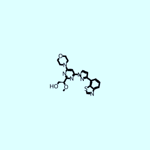 CO[C@@H](CO)c1nc(N2CCOCC2)cc(-n2ccc(-c3cccc4ncsc34)n2)n1